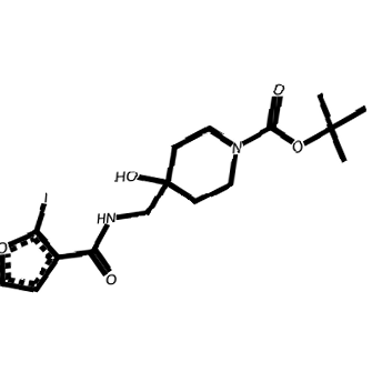 CC(C)(C)OC(=O)N1CCC(O)(CNC(=O)c2ccoc2I)CC1